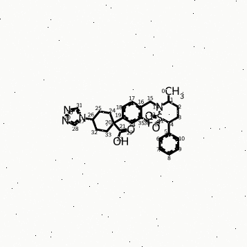 CC1CCC(c2ccccc2)S(=O)(=O)N1Cc1ccc(C2(C(=O)O)CCC(n3cnnc3)CC2)cc1F